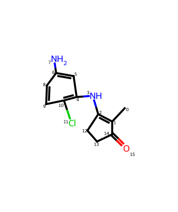 CC1=C(Nc2cc(N)ccc2Cl)CCC1=O